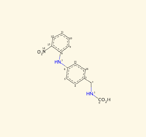 O=C(O)NCc1ccc(Nc2ccccc2[N+](=O)[O-])cc1